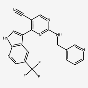 N#Cc1cnc(NCc2cccnc2)nc1-c1c[nH]c2ncc(C(F)(F)F)cc12